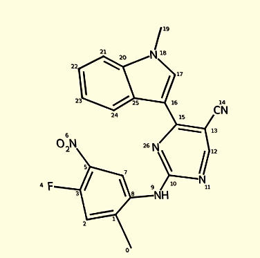 Cc1cc(F)c([N+](=O)[O-])cc1Nc1ncc(C#N)c(-c2cn(C)c3ccccc23)n1